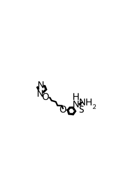 NC(=S)Nc1cccc(OCCCCCOc2ccncn2)c1